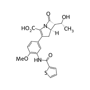 COc1ccc(C2=C(C(=O)O)N3C(=O)[C@H]([C@@H](C)O)[C@H]3C2)cc1NC(=O)c1cccs1